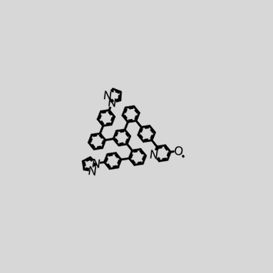 COc1ccnc(-c2ccc(-c3ccccc3-c3cc(-c4ccccc4-c4ccc(-n5cccn5)cc4)cc(-c4ccccc4-c4ccc(-n5cccn5)cc4)c3)cc2)c1